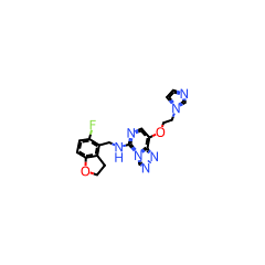 Fc1ccc2c(c1CNc1ncc(OCCn3ccnc3)c3nncn13)CCO2